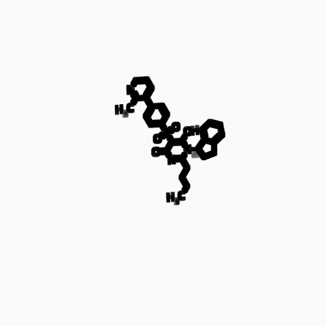 CCCCc1nc(=O)c(S(=O)(=O)c2ccc(-c3cccnc3C)cc2)c(O)n1[C@H]1CCc2ccccc21